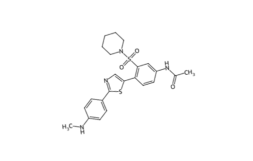 CNc1ccc(-c2ncc(-c3ccc(NC(C)=O)cc3S(=O)(=O)N3CCCCC3)s2)cc1